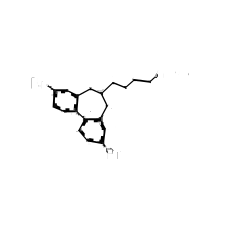 CCCCCCCCCCCCCCC1Cc2cc(Br)ccc2-c2ccc(Br)cc2C1